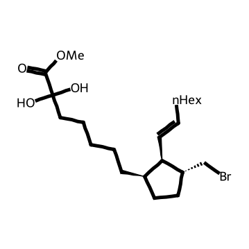 CCCCCCC=C[C@@H]1[C@H](CCCCCC(O)(O)C(=O)OC)CC[C@H]1CBr